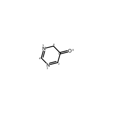 O=C1C=NC=NC1